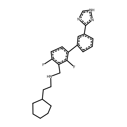 Fc1ccc(-c2cccc(-c3nc[nH]n3)c2)c(F)c1CNCCC1CCCCC1